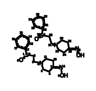 [O-][S+](CCN1CCC(=NO)CC1)c1ccccc1.[O-][S+](CCN1CCC(=NO)CC1)c1ccccc1